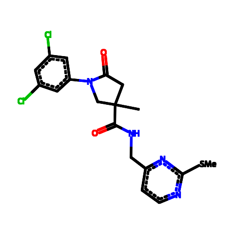 CSc1nccc(CNC(=O)C2(C)CC(=O)N(c3cc(Cl)cc(Cl)c3)C2)n1